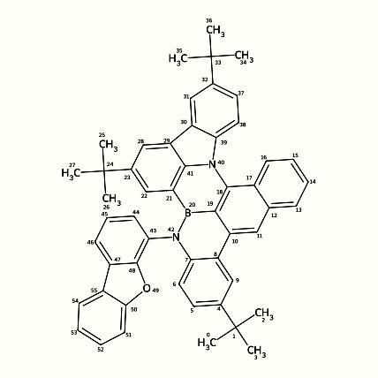 CC(C)(C)c1ccc2c(c1)-c1cc3ccccc3c3c1B(c1cc(C(C)(C)C)cc4c5cc(C(C)(C)C)ccc5n-3c14)N2c1cccc2c1oc1ccccc12